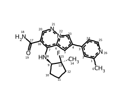 Cc1cc(-c2cc3c(N[C@@H]4CCC[C@]4(C)F)c(C(N)=O)cnn3c2)ccn1